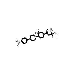 CC(C)(C)OC(=O)N1CCC(N2CCN(c3ccc([N+](=O)[O-])cc3)CC2)C(F)(F)C1